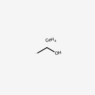 [CH2]CO.[GeH4]